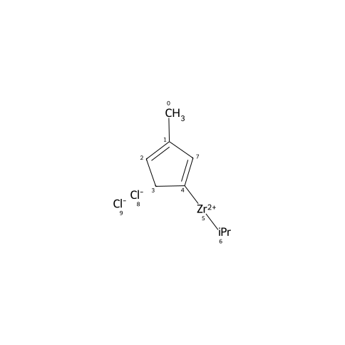 CC1=CC[C]([Zr+2][CH](C)C)=C1.[Cl-].[Cl-]